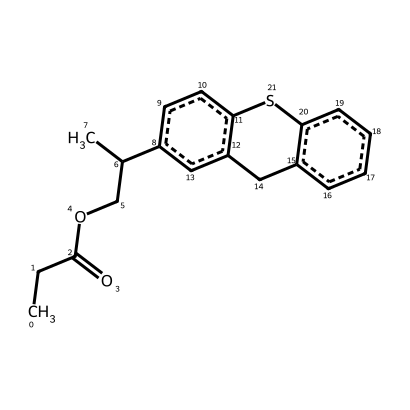 CCC(=O)OCC(C)c1ccc2c(c1)Cc1ccccc1S2